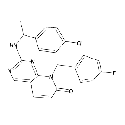 CC(Nc1ncc2ccc(=O)n(Cc3ccc(F)cc3)c2n1)c1ccc(Cl)cc1